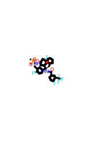 CS(=O)(=O)NCc1cc([C@@](Cc2ccccc2)(NC(=O)c2ccc(F)c(C(F)(F)F)c2)c2cc(O)cc(F)c2)ccc1F